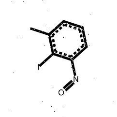 Cc1cccc(N=O)c1I